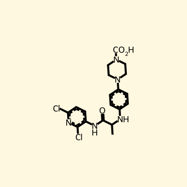 CC(Nc1ccc(N2CCN(C(=O)O)CC2)cc1)C(=O)Nc1ccc(Cl)nc1Cl